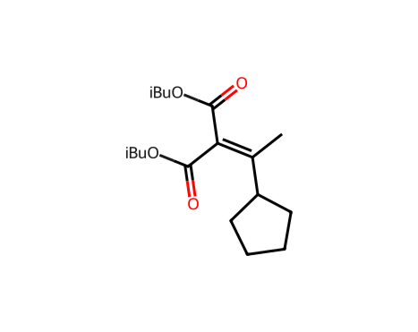 CC(=C(C(=O)OCC(C)C)C(=O)OCC(C)C)C1CCCC1